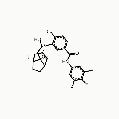 O=C(Nc1cc(F)c(F)c(F)c1)c1ccc(Cl)c(S[C@@H]2CC3CC[C@@H](C2)[C@@]3(O)CCO)c1